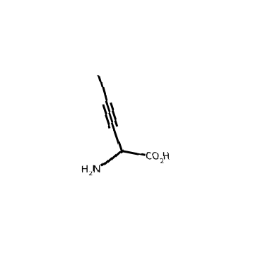 CC#CC(N)C(=O)O